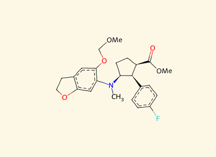 COCOc1cc2c(cc1N(C)[C@H]1CC[C@@H](C(=O)OC)[C@H]1c1ccc(F)cc1)OCC2